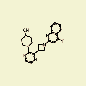 N#CC1CCN(c2nccnc2C2CN(c3cc(F)c4ccccc4n3)C2)CC1